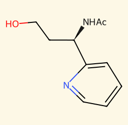 CC(=O)N[C@H](CCO)c1ccccn1